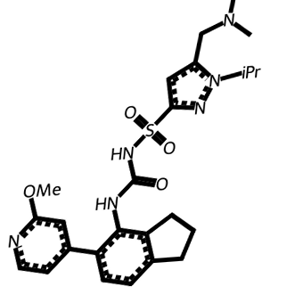 COc1cc(-c2ccc3c(c2NC(=O)NS(=O)(=O)c2cc(CN(C)C)n(C(C)C)n2)CCC3)ccn1